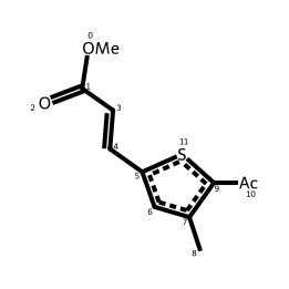 COC(=O)C=Cc1cc(C)c(C(C)=O)s1